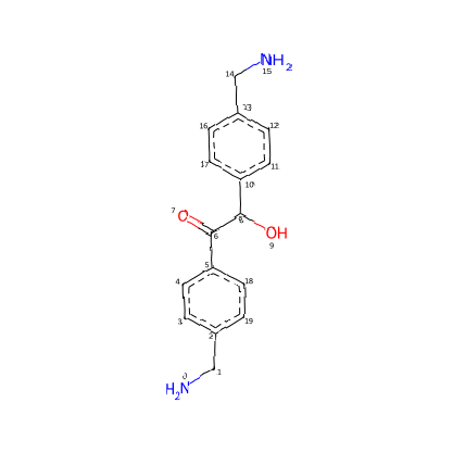 NCc1ccc(C(=O)C(O)c2ccc(CN)cc2)cc1